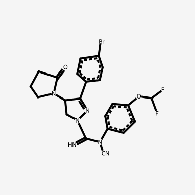 N#CN(C(=N)N1CC(N2CCCC2=O)C(c2ccc(Br)cc2)=N1)c1ccc(OC(F)F)cc1